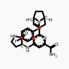 NC(=O)c1cc(N[C@H]2CCNC2=O)nc(C2=C[C@H]3CC[C@@H](C2)N3Oc2ccc(F)cc2)n1